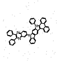 c1ccc(-c2nc3ccc(-n4c5ccccc5c5cc6c7c8ccccc8c8ccccc8c7n(-c7ccccc7)c6cc54)cc3nc2-c2ccccc2)cc1